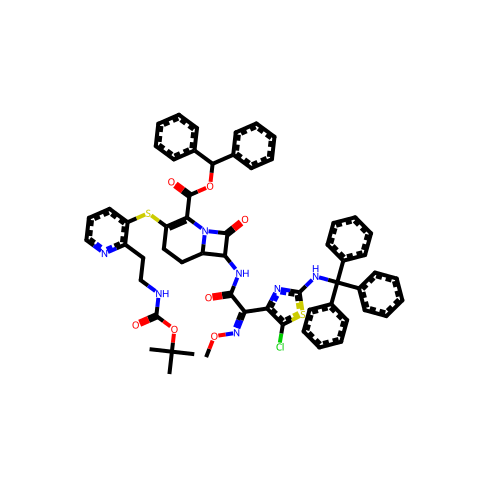 CO/N=C(\C(=O)NC1C(=O)N2C(C(=O)OC(c3ccccc3)c3ccccc3)=C(Sc3cccnc3CCNC(=O)OC(C)(C)C)CCC12)c1nc(NC(c2ccccc2)(c2ccccc2)c2ccccc2)sc1Cl